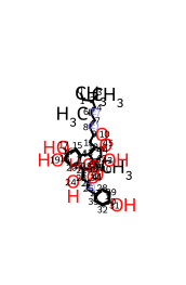 CCC(C)/C=C(C)/C=C/C(=O)CC1=C(c2cc(O)c(O)cc2C2=C(O)/C(=C/c3ccc(O)cc3)OC2=O)C(O)(C(C)=O)C(O)C1=O